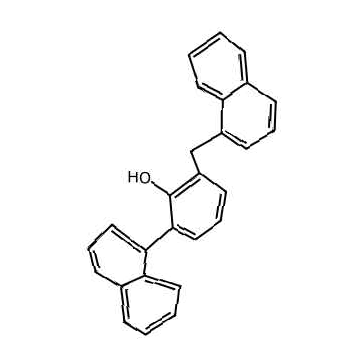 Oc1c(Cc2cccc3ccccc23)cccc1-c1cccc2ccccc12